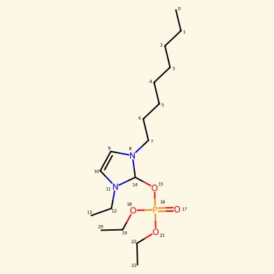 CCCCCCCCN1C=CN(CC)C1OP(=O)(OCC)OCC